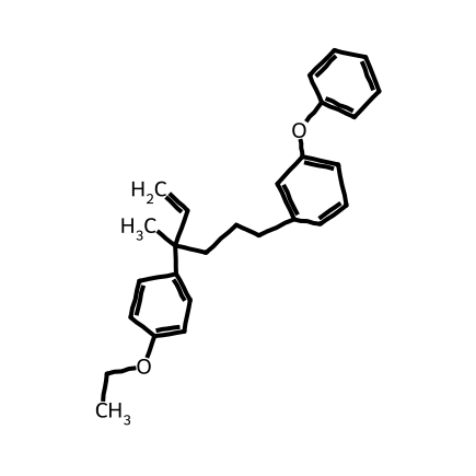 C=CC(C)(CCCc1cccc(Oc2ccccc2)c1)c1ccc(OCC)cc1